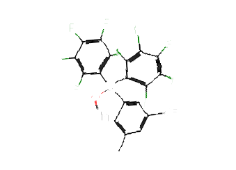 Cc1cc([B-](OC(C)C)(c2c(F)c(F)c(F)c(F)c2F)c2c(F)c(F)c(F)c(F)c2F)cc(C(F)(F)F)c1